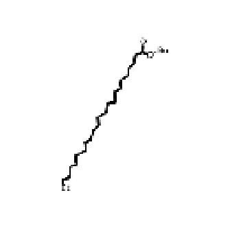 CCC=CCC=CCC=CCC=CCC=CCC=CCCC=CC(=O)OC(C)(C)C